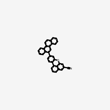 N#Cc1cc2c3c(cccc3c1)-c1ccc(-c3cc4c5ccccc5ccc4c4ccccc34)cc1O2